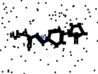 COC(=O)/C=C/C1C=CC([C@H]2CCCN2)=CC1